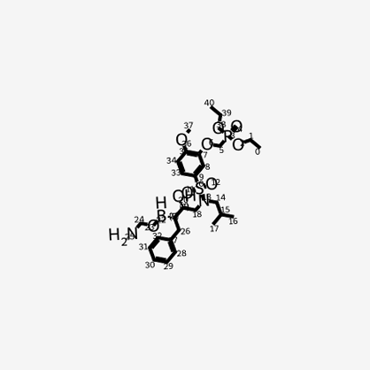 CCOP(=O)(COc1cc(S(=O)(=O)N(CC(C)C)C[C@@H](O)[C@@H](BOCN)Cc2ccccc2)ccc1OC)OCC